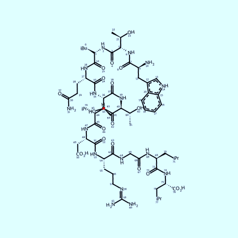 CC[C@H](C)[C@H](NC(=O)[C@@H](NC(=O)[C@@H](N)Cc1c[nH]c2ccccc12)[C@@H](C)O)C(=O)N[C@@H](CCC(N)=O)C(=O)N[C@H](C(=O)N[C@H](C(=O)N[C@H](C(=O)N[C@@H](CC(=O)O)C(=O)N[C@@H](CCCN=C(N)N)C(=O)NCC(=O)N[C@@H](CC(C)C)C(=O)N[C@@H](CC(C)C)C(=O)O)C(C)C)[C@@H](C)O)[C@@H](C)O